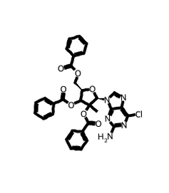 CC1(OC(=O)c2ccccc2)C(OC(=O)c2ccccc2)[C@@H](COC(=O)c2ccccc2)O[C@H]1n1cnc2c(Cl)nc(N)nc21